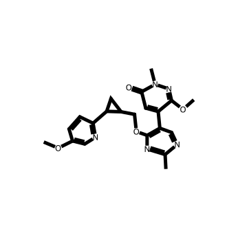 COc1ccc(C2CC2COc2nc(C)ncc2-c2cc(=O)n(C)nc2OC)nc1